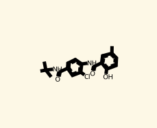 Cc1ccc(O)c(C(=O)Nc2ccc(C(=O)NC(C)(C)C)cc2Cl)c1